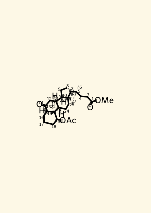 COC(=O)CC[C@@H](C)[C@H]1CC[C@H]2[C@@H]3CC(=O)[C@@H]4CCCC(OC(C)=O)[C@]4(C)[C@H]3CC[C@]12C